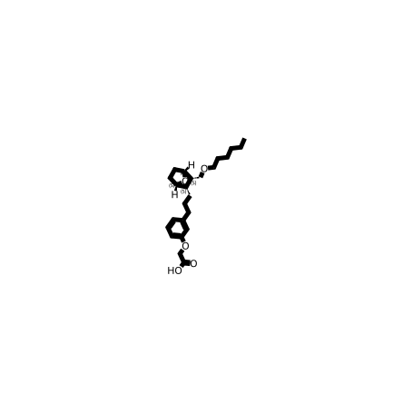 CCCCCCOC[C@@H]1[C@H](CCCc2cccc(OCC(=O)O)c2)[C@@H]2CC[C@H]1O2